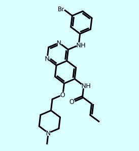 CC=CC(=O)Nc1cc2c(Nc3cccc(Br)c3)ncnc2cc1OCC1CCN(C)CC1